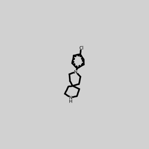 Clc1ccc(N2CCC3(CCNCC3)CC2)cc1